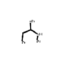 CCCC(CC(C)C)NC(C)C